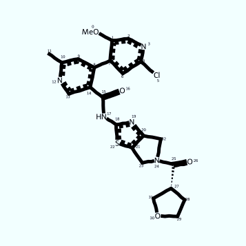 COc1cnc(Cl)cc1-c1cc(C)ncc1C(=O)Nc1nc2c(s1)CN(C(=O)[C@@H]1CCOC1)C2